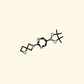 CC1(C)OB(c2cnc(N3CC4(CCO4)C3)nc2)OC1(C)C